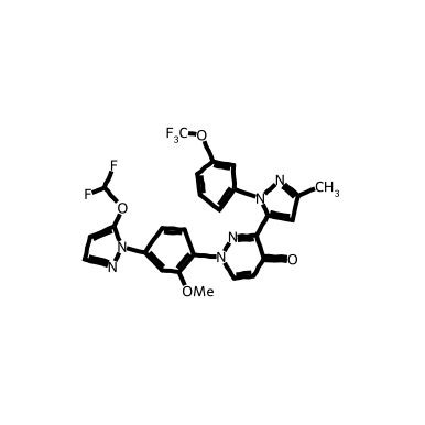 COc1cc(-n2nccc2OC(F)F)ccc1-n1ccc(=O)c(-c2cc(C)nn2-c2cccc(OC(F)(F)F)c2)n1